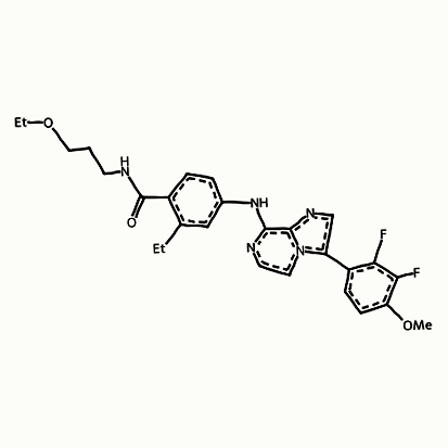 CCOCCCNC(=O)c1ccc(Nc2nccn3c(-c4ccc(OC)c(F)c4F)cnc23)cc1CC